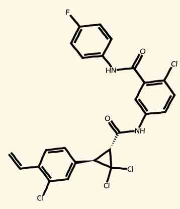 C=Cc1ccc([C@H]2[C@H](C(=O)Nc3ccc(Cl)c(C(=O)Nc4ccc(F)cc4)c3)C2(Cl)Cl)cc1Cl